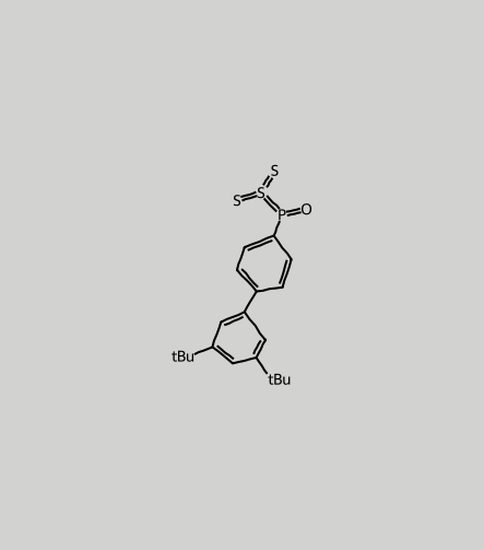 CC(C)(C)c1cc(-c2ccc(P(=O)=S(=S)=S)cc2)cc(C(C)(C)C)c1